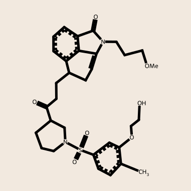 COCCCN1C(=O)c2cccc3c2C1=CCC3CCC(=O)C1CCCN(S(=O)(=O)c2ccc(C)c(OCCO)c2)C1